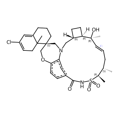 C[C@@H]1[C@@H](C)C/C=C/[C@](C)(O)[C@@H]2CC[C@H]2CN2C[C@@]3(CCCC4=CC(Cl)=CCC43C)COc3ccc(cc32)C(=O)NS1(=O)=O